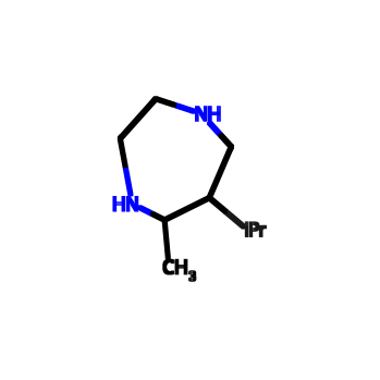 CC(C)C1CNCCNC1C